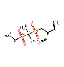 C=CC(C=C)CS(=O)(=O)C(C)(C)S(=O)(=O)CC